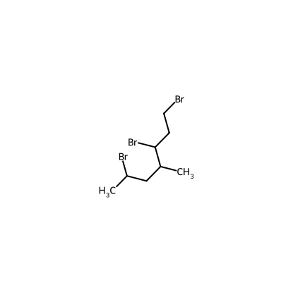 CC(Br)CC(C)C(Br)CCBr